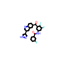 O=C(Nc1cc(F)c(F)c(C(=O)c2ccc3ncc(-c4cn[nH]c4)cc3c2)c1)c1cccc(F)c1